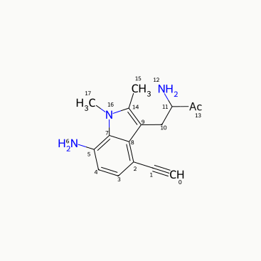 C#Cc1ccc(N)c2c1c(CC(N)C(C)=O)c(C)n2C